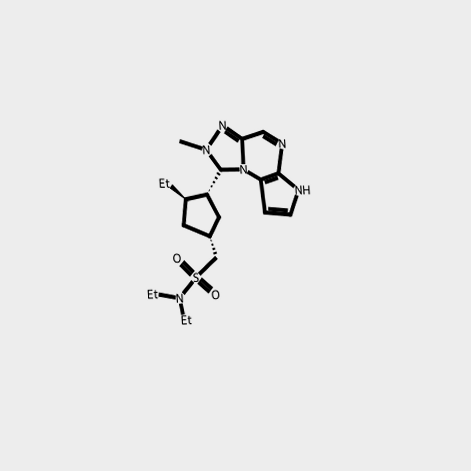 CC[C@@H]1C[C@@H](CS(=O)(=O)N(CC)CC)C[C@H]1C1N(C)N=C2C=Nc3[nH]ccc3N21